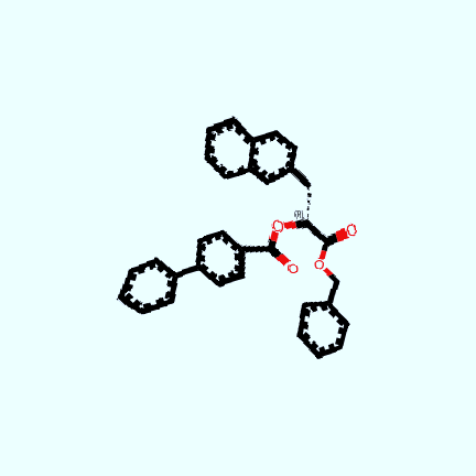 O=C(O[C@H](Cc1ccc2ccccc2c1)C(=O)OCc1ccccc1)c1ccc(-c2ccccc2)cc1